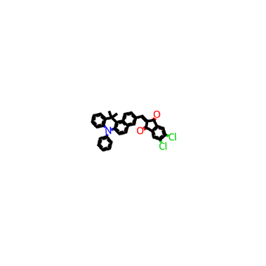 CC1(C)c2ccccc2N(c2ccccc2)c2ccc3cc(C=C4C(=O)c5cc(Cl)c(Cl)cc5C4=O)ccc3c21